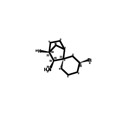 CC[C@@H]1CCC[C@@]2(C1)C1CC[C@H](C1)[C@@H]2N